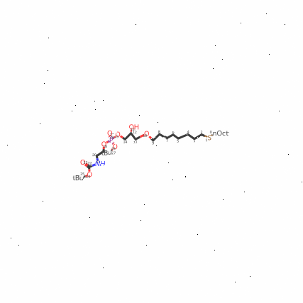 CCCCCCCCSCCCCCCCCOC[C@H](O)COP(=O)(OCCNC(=O)OC(C)(C)C)OC(C)(C)C